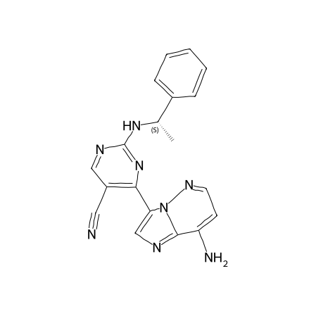 C[C@H](Nc1ncc(C#N)c(-c2cnc3c(N)ccnn23)n1)c1ccccc1